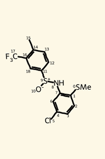 CSc1ccc(Cl)cc1N[S+]([O-])c1ccc(C)c(C(F)(F)F)c1